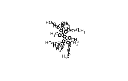 CC[N+](CC)(CC)Cc1cc(C2(c3ccc(OCCOCCOC)c(C)c3)c3cc(C)ccc3-c3cc4c(cc32)-c2ccc(C)cc2C4(c2ccc(OCCOCCOC)c(C)c2)c2ccc(COCCOCCO)c(C[N+](CC)(CC)CC)c2)ccc1COCCOCCO